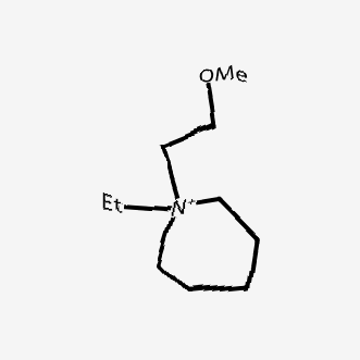 CC[N+]1(CCOC)CCCCC1